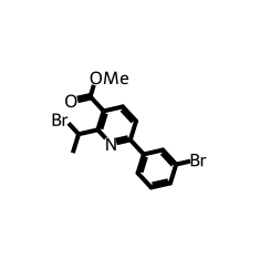 COC(=O)c1ccc(-c2cccc(Br)c2)nc1C(C)Br